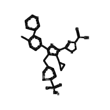 Cc1ccc(-c2nn(C3=NC(C(=O)O)CS3)c(C3CC3)c2Cc2ccc(S(N)(=O)=O)cc2)cc1-c1cccnc1